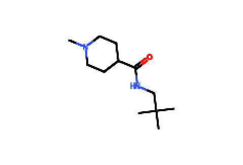 CN1CCC(C(=O)NCC(C)(C)C)CC1